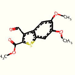 COC(=O)c1sc2cc(OC)c(OC)cc2c1C=O